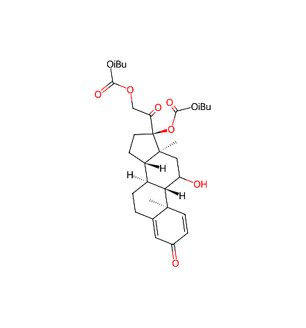 CC(C)COC(=O)OCC(=O)[C@@]1(OC(=O)OCC(C)C)CC[C@H]2[C@@H]3CCC4=CC(=O)C=C[C@]4(C)[C@H]3C(O)C[C@@]21C